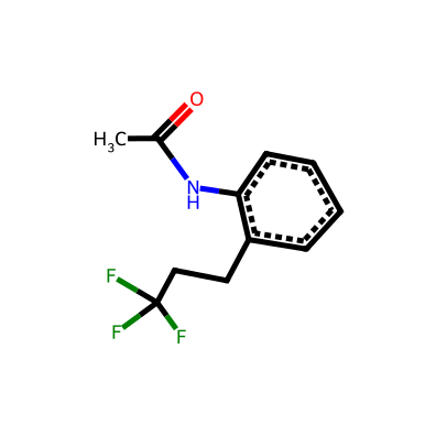 CC(=O)Nc1ccccc1CCC(F)(F)F